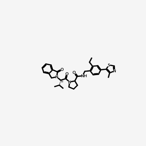 CCc1cc(-c2scnc2C)ccc1CNC(=O)C1CCCN1C(=O)[C@H](C(C)C)N1Cc2ccccc2C1=O